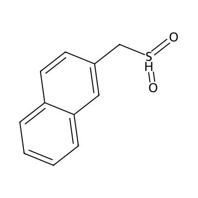 O=[SH](=O)Cc1ccc2ccccc2c1